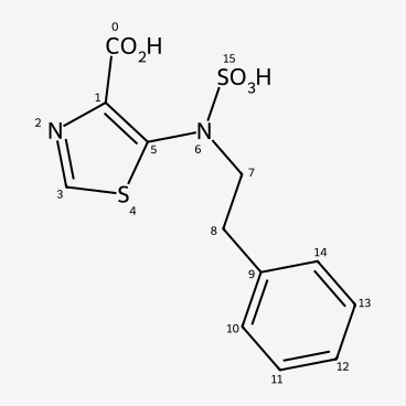 O=C(O)c1ncsc1N(CCc1ccccc1)S(=O)(=O)O